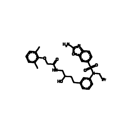 Cc1cccc(C)c1OCC(=O)NCC(O)CCc1cccc(N(CC(C)C)S(=O)(=O)c2ccc3nc(N)oc3c2)c1